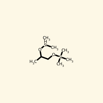 CC(CO[Si](C)(C)C)O[SiH](C)C